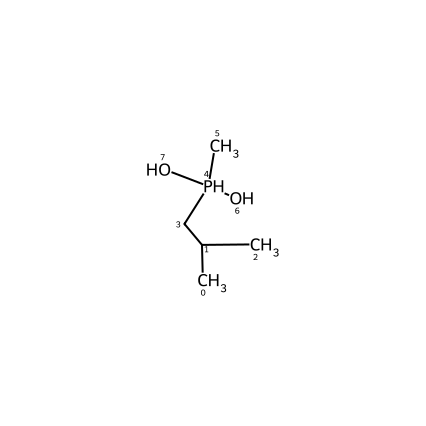 CC(C)C[PH](C)(O)O